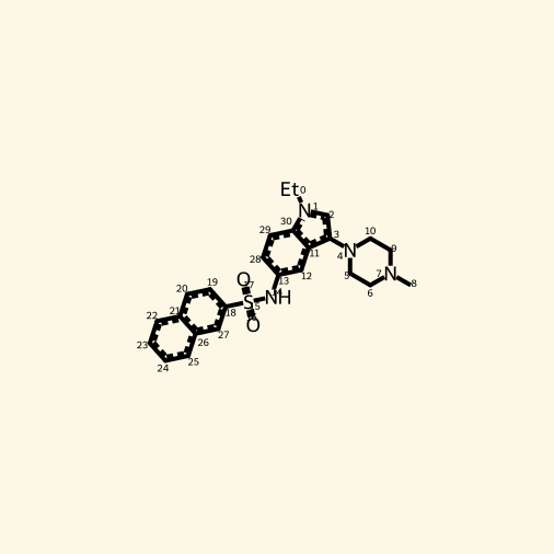 CCn1cc(N2CCN(C)CC2)c2cc(NS(=O)(=O)c3ccc4ccccc4c3)ccc21